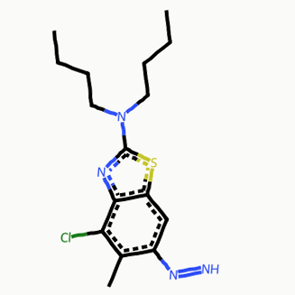 CCCCN(CCCC)c1nc2c(Cl)c(C)c(N=N)cc2s1